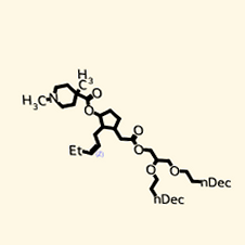 CC/C=C\CC1C(CC(=O)OCC(COCCCCCCCCCCCC)OCCCCCCCCCCCC)CCC1OC(=O)C1(C)CCN(C)CC1